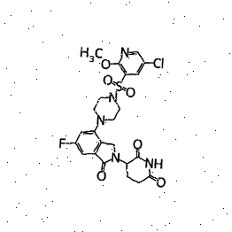 COc1ncc(Cl)cc1S(=O)(=O)N1CCN(c2cc(F)cc3c2CN(C2CCC(=O)NC2=O)C3=O)CC1